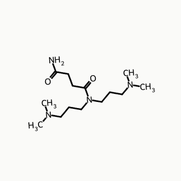 CN(C)CCCN(CCCN(C)C)C(=O)CCC(N)=O